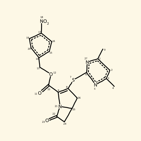 Cc1cc(C)nc(SC2=C(C(=O)OCc3ccc([N+](=O)[O-])cc3)N3C(=O)CC3C2)n1